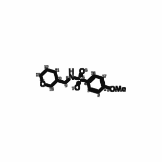 COc1ccc(S(=O)(=O)NCC2CCCOC2)cc1